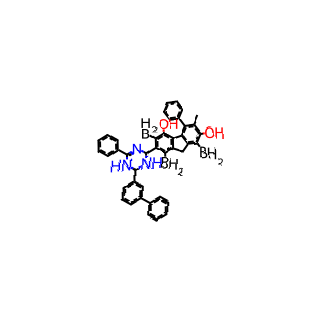 Bc1c(O)c(C)c(-c2ccccc2)c2c1Cc1c(B)c(C3N=C(c4ccccc4)NC(c4cccc(-c5ccccc5)c4)N3)c(B)c(O)c1-2